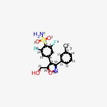 NS(=O)(=O)c1c(F)cc(-c2c(-c3cccc(C(F)(F)F)c3)noc2CO)cc1F